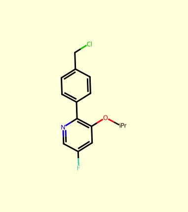 CC(C)Oc1cc(F)cnc1-c1ccc(CCl)cc1